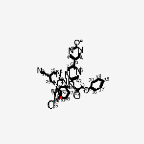 COc1ncc(-c2cnc(N(C(=O)COc3ccccc3)C3(NC4N=CC(C#N)=CN4c4ccn(Cl)n4)CCCCC3)cn2)cn1